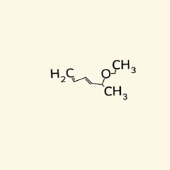 C=C/C=C/C(C)OCC